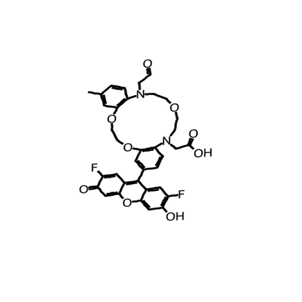 Cc1ccc2c(c1)OCCOc1cc(-c3c4cc(F)c(=O)cc-4oc4cc(O)c(F)cc34)ccc1N(CC(=O)O)CCOCCN2CC=O